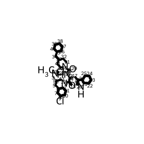 CN(C)C[C@H]1Cc2cc(Cl)ccc2N(C(=O)[C@@H](Cc2c[nH]c3ccccc23)NC(=O)N2CCC(=Cc3ccccc3)CC2)C1